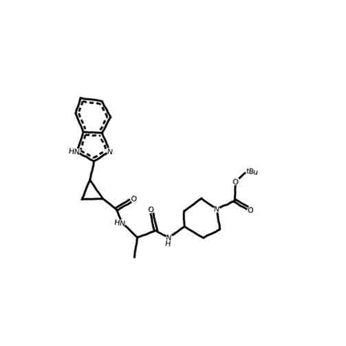 CC(NC(=O)C1CC1c1nc2ccccc2[nH]1)C(=O)NC1CCN(C(=O)OC(C)(C)C)CC1